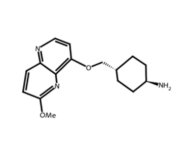 COc1ccc2nccc(OC[C@H]3CC[C@H](N)CC3)c2n1